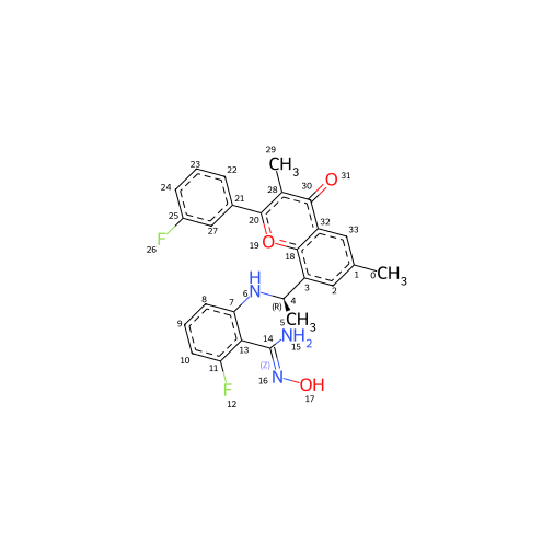 Cc1cc([C@@H](C)Nc2cccc(F)c2/C(N)=N/O)c2oc(-c3cccc(F)c3)c(C)c(=O)c2c1